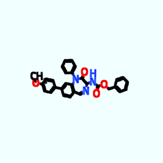 COc1ccc(-c2ccc3c(c2)N(c2ccccc2)C(=O)C(NC(=O)OCc2ccccc2)N=C3)cc1